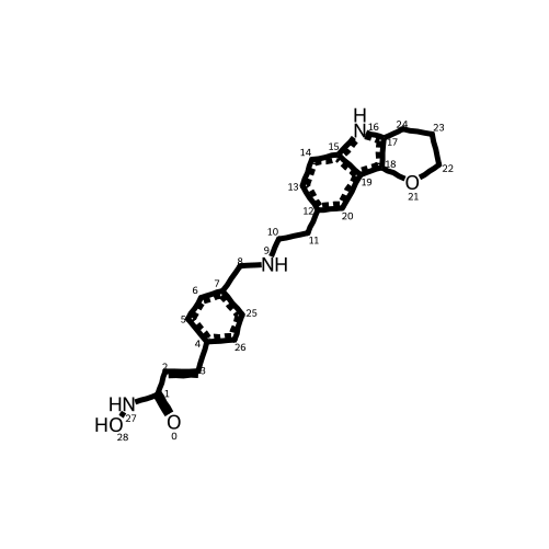 O=C(/C=C/c1ccc(CNCCc2ccc3[nH]c4c(c3c2)OCCC4)cc1)NO